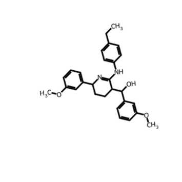 CCc1ccc(NC2=NC(c3cccc(OC)c3)CCC2C(O)c2cccc(OC)c2)cc1